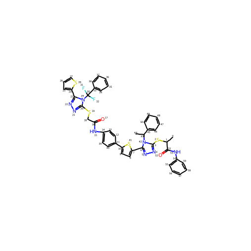 CC(Sc1nnc(-c2ccc(-c3ccc(NC(=O)CSc4nnc(-c5cccs5)n4C(F)(F)c4ccccc4)cc3)s2)n1C(C)c1ccccc1)C(=O)Nc1ccccc1